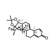 CC1(C)O[C@@H]2C[C@H]3[C@@H]4CCC5=CC(=O)C=C[C@]5(C)C4=CC[C@]3(C)[C@]2(C(=O)C(F)F)O1